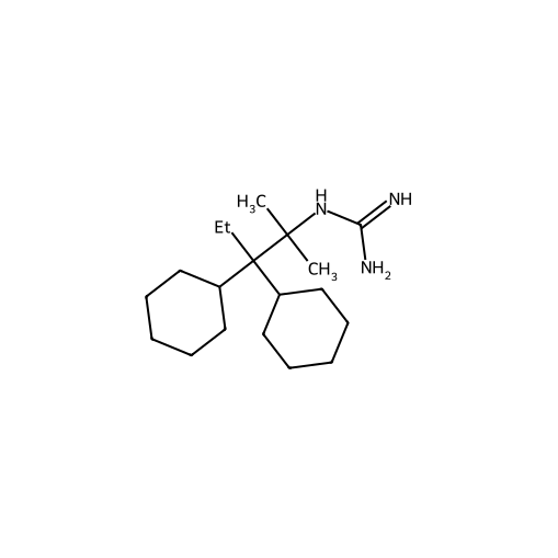 CCC(C1CCCCC1)(C1CCCCC1)C(C)(C)NC(=N)N